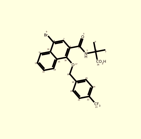 CC(C)(NC(=O)c1cc(Br)c2ccccc2c1OCc1ccc(C(F)(F)F)cc1)C(=O)O